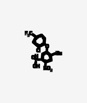 CCC(C)c1cc([N+](=O)[O-])c([PH](=O)O)cc1Oc1ccc(C(F)(F)F)cc1Cl